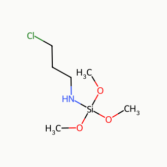 CO[Si](NCCCCl)(OC)OC